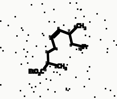 CCOC(=O)C(C)CC/C=C\C(C)CC(C)C